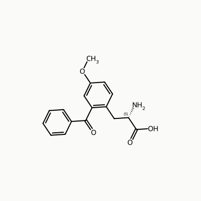 COc1ccc(C[C@H](N)C(=O)O)c(C(=O)c2ccccc2)c1